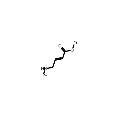 CCOC(=O)C=CCNC(C)C